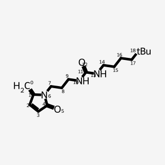 C=C1C=CC(=O)N1CCCNC(=O)NCCCCC(C)(C)C